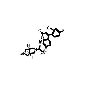 C[C@@H](Oc1ccc2c(-c3ccc(F)cc3Cl)cc(=O)oc2c1)C(=C=O)N1C[C@H]2CN(C)C[C@H]2C1